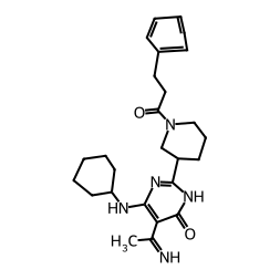 CC(=N)c1c(NC2CCCCC2)nc(C2CCCN(C(=O)CCc3ccccc3)C2)[nH]c1=O